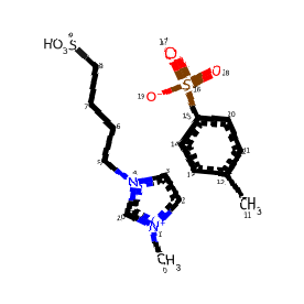 C[n+]1ccn(CCCCS(=O)(=O)O)c1.Cc1ccc(S(=O)(=O)[O-])cc1